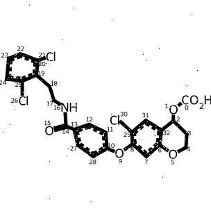 O=C(O)OC1CCOc2cc(Oc3ccc(C(=O)NCCc4c(Cl)cccc4Cl)cc3)c(Cl)cc21